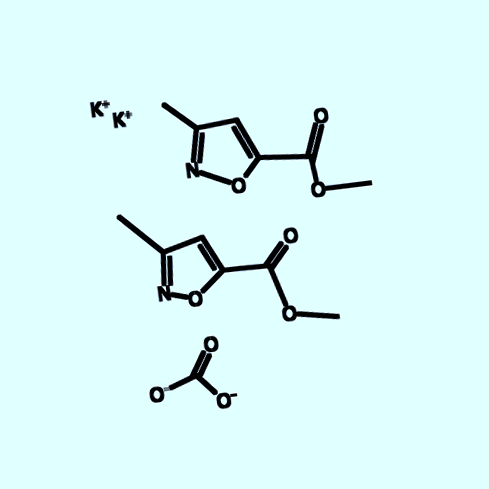 COC(=O)c1cc(C)no1.COC(=O)c1cc(C)no1.O=C([O-])[O-].[K+].[K+]